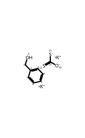 OCc1ccccc1.[K+].[K+].[O-]C(=S)[S-]